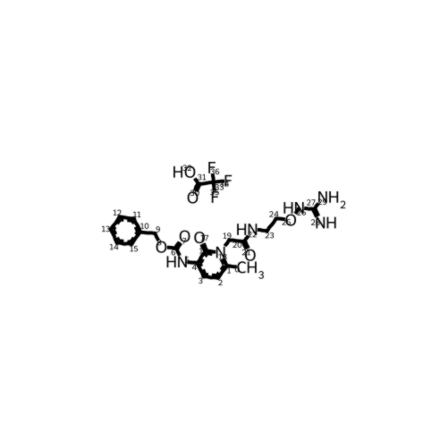 Cc1ccc(NC(=O)OCc2ccccc2)c(=O)n1CC(=O)NCCONC(=N)N.O=C(O)C(F)(F)F